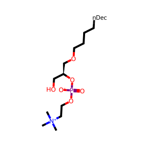 CCCCCCCCCCCCCCOC[C@H](CO)OP(=O)([O-])OCC[N+](C)(C)C